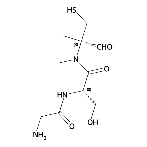 CN(C(=O)[C@H](CO)NC(=O)CN)[C@](C)([C]=O)CS